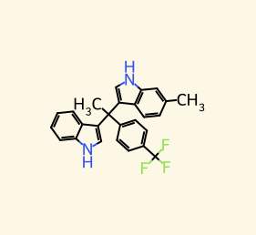 Cc1ccc2c(C(C)(c3ccc(C(F)(F)F)cc3)c3c[nH]c4ccccc34)c[nH]c2c1